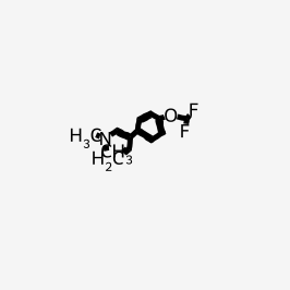 C=C/C(=C\N(C)C)c1ccc(OC(F)F)cc1